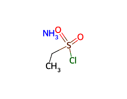 CCS(=O)(=O)Cl.N